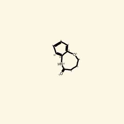 O=C1CCCOc2ccccc2N1